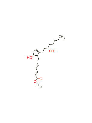 CCCCC[C@H](O)CCC1=CC[C@H](O)[C@@H]1CCC=CC=CC(=O)OC